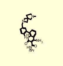 CCCNC(=O)c1c(N)c2cccc(-c3cc(CN4CC5(CCN(C)C5)C4)ccc3F)c2[nH]c1=O